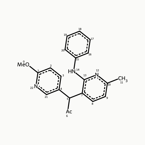 COc1ccc(C(C(C)=O)c2ccc(C)nc2Nc2ccccc2)cn1